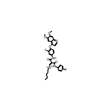 CCCCCN/C=C(\C(=O)Nc1ccc(F)cc1)C(=O)Nc1ccc(Oc2ccnc3cc(OC)c(OC)cc23)c(F)c1